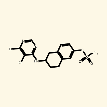 CCc1ncnc(NC2CCc3cc(OS(=O)(=O)C(F)(F)F)ccc3C2)c1Cl